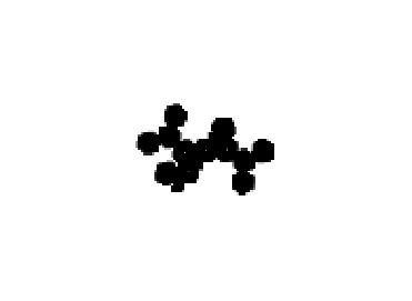 c1ccc(-c2cc(-c3ccccc3)cc(-c3cc4c5ccccc5n5c6cc7c8cc(-c9cc(-c%10ccccc%10)cc(-c%10ccccc%10)c9)cc9c%10c%11c(ccc%10n(c7cc6c(c3)c45)c89)sc3ccccc3%11)c2)cc1